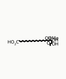 COC1C(O)C(O)C(C)OC1C(O)CCCCCCCCCCCCCCCCC(=O)O